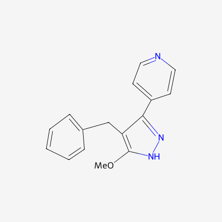 COc1[nH]nc(-c2ccncc2)c1Cc1ccccc1